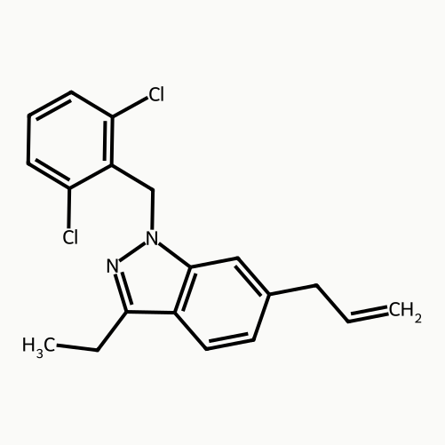 C=CCc1ccc2c(CC)nn(Cc3c(Cl)cccc3Cl)c2c1